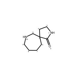 O=C1NCCC12CCCCNC2